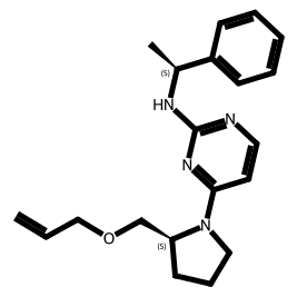 C=CCOC[C@@H]1CCCN1c1ccnc(N[C@@H](C)c2ccccc2)n1